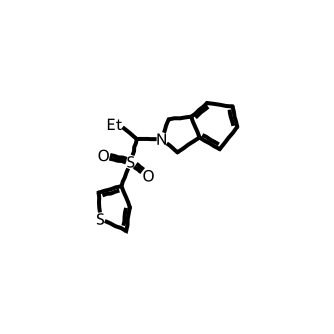 CCC(N1Cc2ccccc2C1)S(=O)(=O)c1ccsc1